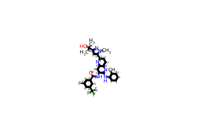 Cc1ccccc1Nc1nc2ccc(-c3cc(C(C)(C)O)nn3C)nc2cc1NC(=O)c1cc(F)cc(C(F)(F)F)c1